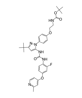 Cc1cc(Oc2ccc(NC(=O)Nc3cc(C(C)(C)C)nn3-c3ccc(OCCNC(=O)OC(C)(C)C)cc3)c(F)c2)ccn1